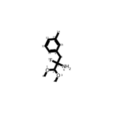 COC(OC)C(N)(F)Cc1cccc(C)c1